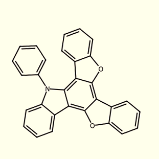 c1ccc(-n2c3ccccc3c3c4oc5ccccc5c4c4oc5ccccc5c4c32)cc1